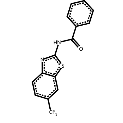 O=C(Nc1nc2ccc(C(F)(F)F)cc2s1)c1ccccc1